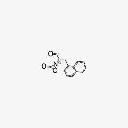 O=[C][C@H](Cc1cccc2ccccc12)N1OC1=O